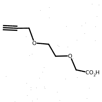 C#CCOCCOCC(=O)O